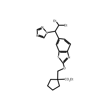 CCOC(=O)C1(COc2nc3ccc(C(C(CC)CC)n4cncn4)cc3s2)CCCC1